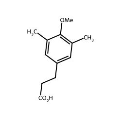 COc1c(C)cc(CCC(=O)O)cc1C